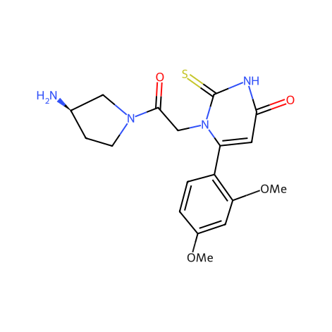 COc1ccc(-c2cc(=O)[nH]c(=S)n2CC(=O)N2CC[C@@H](N)C2)c(OC)c1